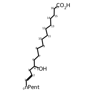 CCCCCC=CCC(O)CCCCCCCCCCCC(=O)O